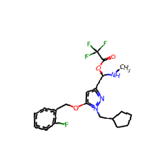 CNC(OC(=O)C(F)(F)F)c1cc(OCc2ccccc2F)n(CC2CCCC2)n1